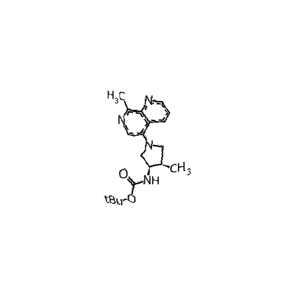 Cc1ncc(N2C[C@@H](C)[C@@H](NC(=O)OC(C)(C)C)C2)c2cccnc12